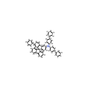 c1ccc(-c2ccc(N(c3ccc(-c4ccccc4)cc3)c3ccc4c(c3)-c3ccc(-c5ccccc5)cc3C43c4ccccc4-c4ccccc43)cc2)cc1